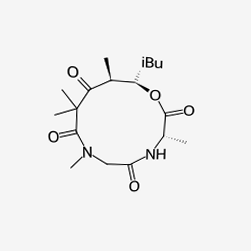 CC[C@@H](C)[C@H]1OC(=O)[C@H](C)NC(=O)CN(C)C(=O)C(C)(C)C(=O)[C@H]1C